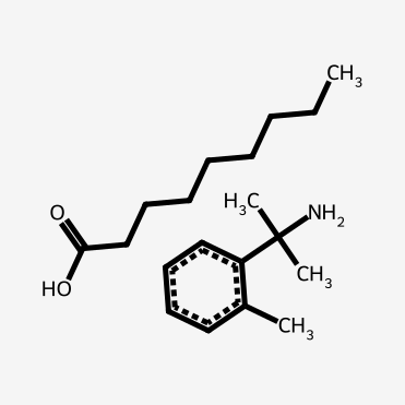 CCCCCCCCC(=O)O.Cc1ccccc1C(C)(C)N